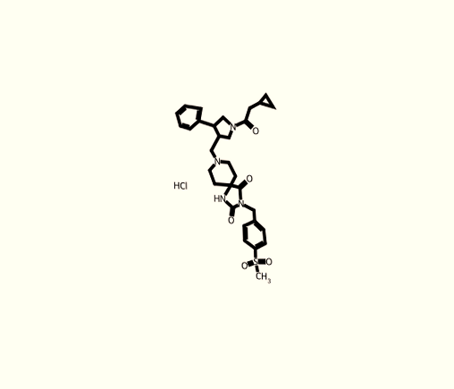 CS(=O)(=O)c1ccc(CN2C(=O)NC3(CCN(CC4CN(C(=O)CC5CC5)CC4c4ccccc4)CC3)C2=O)cc1.Cl